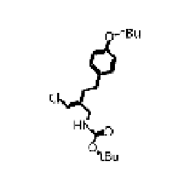 CCCCOc1ccc(CC/C(=C\Cl)CNC(=O)OC(C)(C)C)cc1